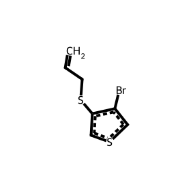 C=CCSc1cscc1Br